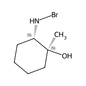 C[C@]1(O)CCCC[C@@H]1NBr